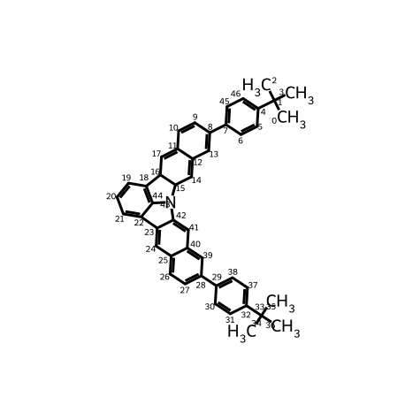 CC(C)(C)c1ccc(-c2ccc3c(c2)=CC2C(C=3)c3cccc4c5cc6ccc(-c7ccc(C(C)(C)C)cc7)cc6cc5n2c34)cc1